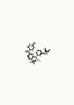 C=CC(=O)Nc1cccc(N(CC)c2nc(NC3CCC(=O)CC3)ncc2C(F)(F)F)c1